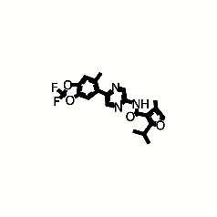 Cc1cc2c(cc1-c1cnc(NC(=O)c3c(C)coc3C(C)C)cn1)OC(F)(F)O2